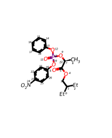 CCC(CC)COC(=O)[C@H](C)OP(=O)(Oc1ccccc1)Oc1ccc([N+](=O)[O-])cc1